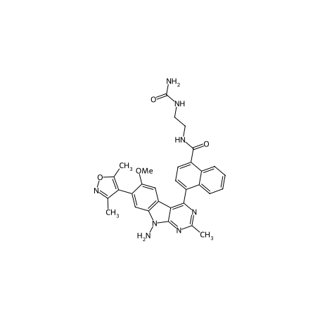 COc1cc2c3c(-c4ccc(C(=O)NCCNC(N)=O)c5ccccc45)nc(C)nc3n(N)c2cc1-c1c(C)noc1C